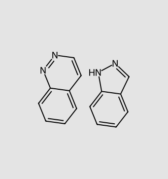 c1ccc2[nH]ncc2c1.c1ccc2nnccc2c1